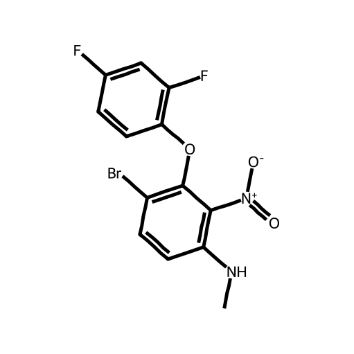 CNc1ccc(Br)c(Oc2ccc(F)cc2F)c1[N+](=O)[O-]